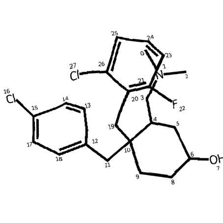 CN(C)CC1CC(O)CCC1(Cc1ccc(Cl)cc1)Cc1c(F)cccc1Cl